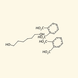 O=C(O)c1ccccc1C(=O)O.O=C(O)c1ccccc1C(=O)O.OCCCCCCO